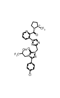 O=C(c1ncccc1-n1cnc(Cn2nc(-c3ccc(Cl)cc3)n(CC(O)C(F)(F)F)c2=O)n1)N1CCC[C@H]1C(F)(F)F